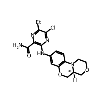 CCc1nc(C(N)=O)c(Nc2ccc3c(c2)OC[C@H]2COCCN32)nc1Cl